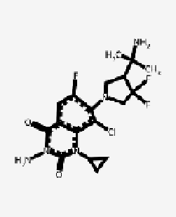 CC(C)(N)C1CN(c2c(F)cc3c(=O)n(N)c(=O)n(C4CC4)c3c2Cl)CC1(F)F